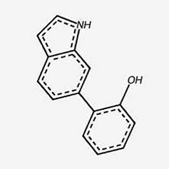 Oc1ccccc1-c1ccc2cc[nH]c2c1